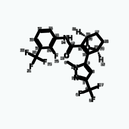 Cn1nc(C(F)(F)F)cc1C1=C(C(=O)Nc2cccc(C(F)(F)F)c2F)[C@H]2CC[C@@H]1O2